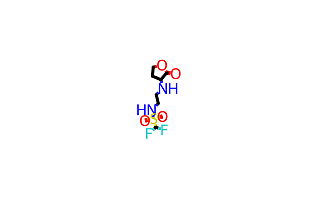 O=C1OCCC1NCCNS(=O)(=O)C(F)F